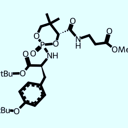 COC(=O)CCNC(=O)[C@@H]1OP(=O)(N[C@@H](Cc2ccc(OC(C)(C)C)cc2)C(=O)OC(C)(C)C)OCC1(C)C